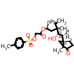 C=C[C@](C)(C[C@H](CCC)OC(=O)COS(=O)(=O)c1ccc(C)cc1)[C@@H](O)[C@H](C)[C@]12CCC(=O)C1(C)C2